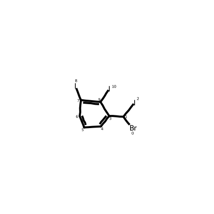 BrC(I)c1cccc(I)c1I